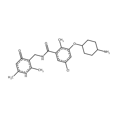 Cc1cc(=O)c(CNC(=O)c2cc(Cl)cc(OC3CCC(N)CC3)c2C)c(C)[nH]1